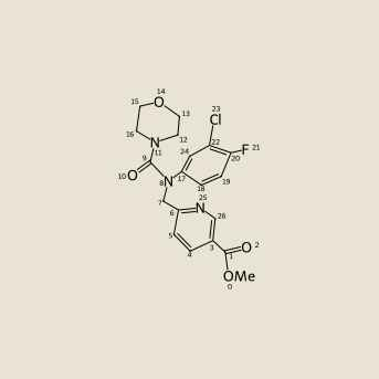 COC(=O)c1ccc(CN(C(=O)N2CCOCC2)c2ccc(F)c(Cl)c2)nc1